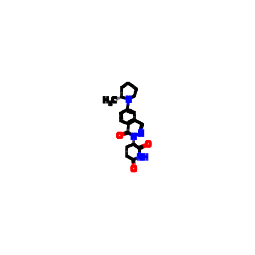 C[C@@H]1CCCCN1c1ccc2c(=O)n(C3CCC(=O)NC3=O)ncc2c1